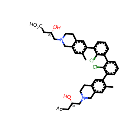 CC(=O)C[C@H](O)CN1CCc2cc(-c3cccc(-c4cccc(-c5cc6c(cc5C)CN(C[C@@H](O)CC(=O)O)CC6)c4Cl)c3Cl)c(C)cc2C1